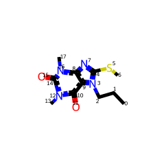 CCCn1c(SC)nc2c1c(=O)n(C)c(=O)n2C